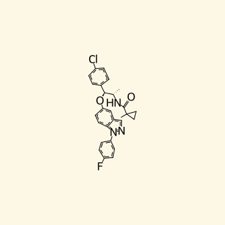 C[C@H](NC(=O)C1(C)CC1)[C@@H](Oc1ccc2c(cnn2-c2ccc(F)cc2)c1)c1ccc(Cl)cc1